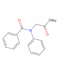 COC(=O)CN(C(=O)c1ccccc1)c1ccccc1